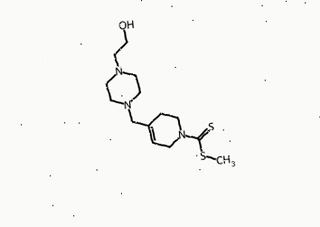 CSC(=S)N1CC=C(CN2CCN(CCO)CC2)CC1